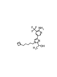 C[C@H](O)c1nc(-c2cnc(N)c(C(F)(F)F)c2)cn1CCCCCC12CC(C1)C2